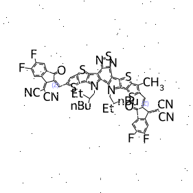 CCCCC(CC)Cn1c2c3sc(/C=C4\C(=O)c5cc(F)c(F)cc5C4=C(C#N)C#N)cc3sc2c2c3nsnc3c3c4sc5c(C)c(/C=C6\C(=O)c7cc(F)c(F)cc7C6=C(C#N)C#N)sc5c4n(CC(CC)CCCC)c3c21